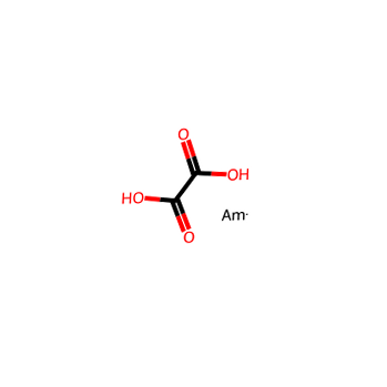 O=C(O)C(=O)O.[Am]